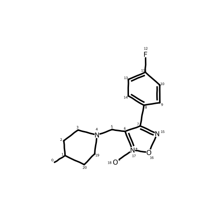 CC1CCN(Cc2c(-c3ccc(F)cc3)no[n+]2[O-])CC1